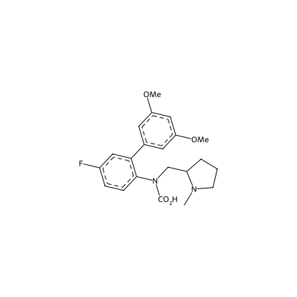 COc1cc(OC)cc(-c2cc(F)ccc2N(CC2CCCN2C)C(=O)O)c1